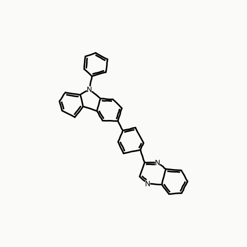 c1ccc(-n2c3ccccc3c3cc(-c4ccc(-c5cnc6ccccc6n5)cc4)ccc32)cc1